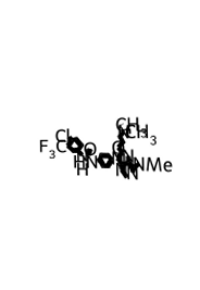 CNc1ncnc2c1nc(OCCN(C)C)n2-c1ccc(NC(=O)Nc2ccc(Cl)c(C(F)(F)F)c2)cc1